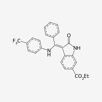 CCOC(=O)c1ccc2c(c1)NC(=O)C2=C(Nc1ccc(C(F)(F)F)cc1)c1ccccc1